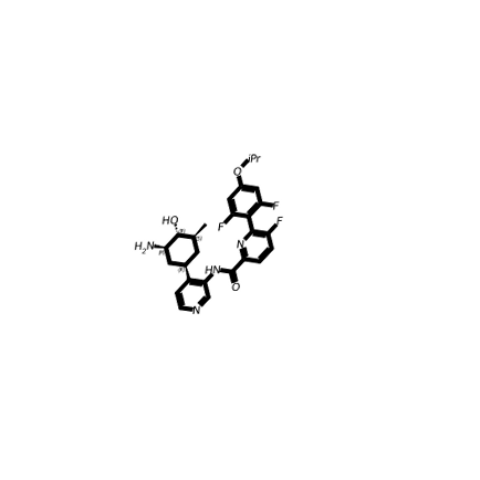 CC(C)Oc1cc(F)c(-c2nc(C(=O)Nc3cnccc3[C@H]3C[C@@H](N)[C@H](O)[C@@H](C)C3)ccc2F)c(F)c1